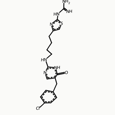 N=C(N)Nc1nc(CCCCNc2ncc(Cc3ccc(Cl)cc3)c(=O)[nH]2)cs1